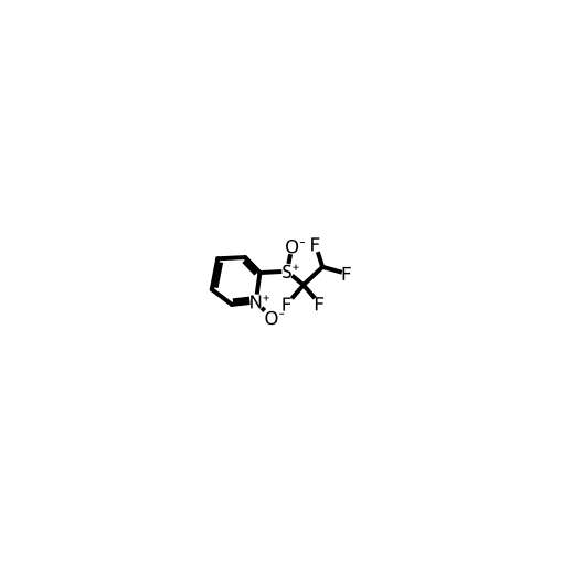 [O-][n+]1ccccc1[S+]([O-])C(F)(F)C(F)F